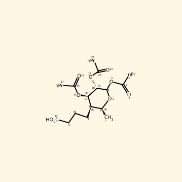 CCCC(=O)OC1O[C@@H](C)[C@@H](CCCC(=O)O)[C@@H](OC(=O)CCC)[C@@H]1OC(=O)CCC